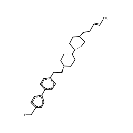 CC=CCC[C@H]1CC[C@H]([C@H]2CC[C@H](CCc3ccc(-c4ccc(CF)cc4)cc3)CC2)CC1